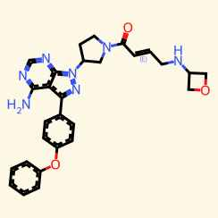 Nc1ncnc2c1c(-c1ccc(Oc3ccccc3)cc1)nn2C1CCN(C(=O)/C=C/CNC2COC2)C1